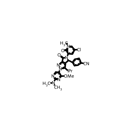 COc1nc(N(C)C)ncc1-n1nc2c(c1C(C)C)C(c1ccc(C#N)cc1)N(c1cc(Cl)cn(C)c1=O)C2=O